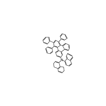 C1=CC2=C(CC1)C(N(c1ccc3c(c1)c1ccccc1c1c(-c4ccccc4)cc(-c4ccccc4)c(-c4ccccc4)c31)c1cccc3ccccc13)=CCC2